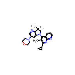 Cc1c(C2CC2)nc2ncccc2c1N1CC(C)(C)c2ncc(N3CCOCC3)cc21